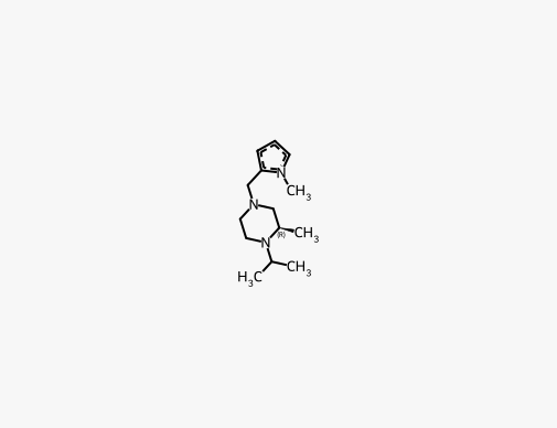 CC(C)N1CCN(Cc2cccn2C)C[C@H]1C